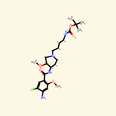 COc1cc(N)c(Cl)cc1C(=O)NC1CCN(CCCCNC(=O)OC(C)(C)C)CC1OC